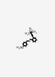 COc1ccc(C[N]Cc2ccccc2C#CC(C)(C)C)cc1